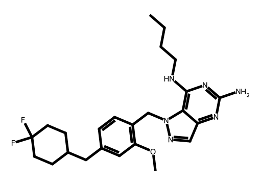 CCCCNc1nc(N)nc2cnn(Cc3ccc(CC4CCC(F)(F)CC4)cc3OC)c12